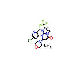 C[C@@H]1COCCN1c1cc(=O)n2c(n1)N(Cc1ccc(Cl)cn1)[C@H](C(F)(F)F)CC2